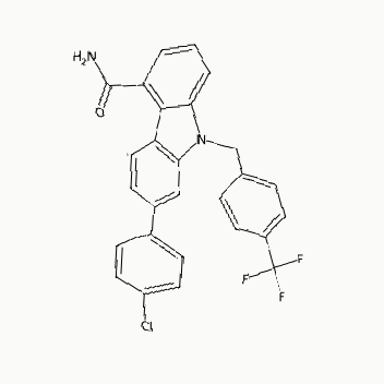 NC(=O)c1cccc2c1c1[c]cc(-c3ccc(Cl)cc3)cc1n2Cc1ccc(C(F)(F)F)cc1